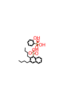 CCCCc1cc2ccccc2c(S(=O)(=O)O)c1CCCC.O=S(=O)(O)c1ccccc1O